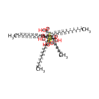 CCCCCCCCCCCCCCCCCC[SH](CCCCCCCCCCCC)(CCC(=O)O)(CCC(=O)O)[SH](CCCCCCCCCCCCCCCCCC)(CCCCCCCCCCCCCCCCCC)(CCC(=O)O)CCC(=O)O